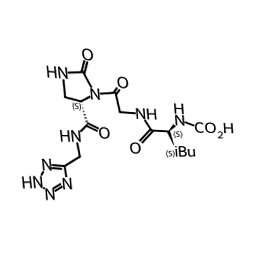 CC[C@H](C)[C@H](NC(=O)O)C(=O)NCC(=O)N1C(=O)NC[C@H]1C(=O)NCc1nn[nH]n1